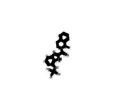 C[C@@H]1c2cccnc2CCN1C(=O)c1nc2cccc(OC(F)(F)F)c2[nH]1